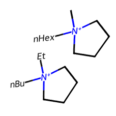 CCCCCC[N+]1(C)CCCC1.CCCC[N+]1(CC)CCCC1